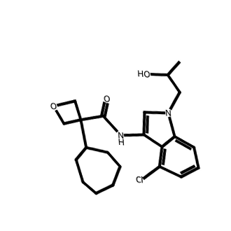 CC(O)Cn1cc(NC(=O)C2(C3CCCCCC3)COC2)c2c(Cl)cccc21